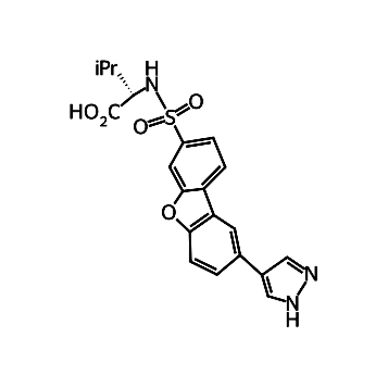 CC(C)[C@H](NS(=O)(=O)c1ccc2c(c1)oc1ccc(-c3cn[nH]c3)cc12)C(=O)O